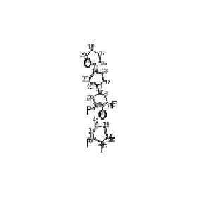 Fc1cc(COc2c(F)cc(-c3ccc(C4CCCCO4)cc3)cc2F)cc(F)c1F